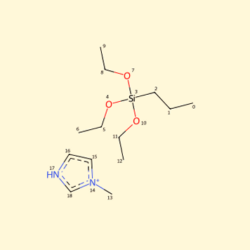 CCC[Si](OCC)(OCC)OCC.C[n+]1cc[nH]c1